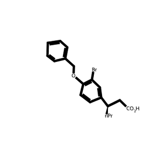 CCC[C@H](CC(=O)O)c1ccc(OCc2ccccc2)c(Br)c1